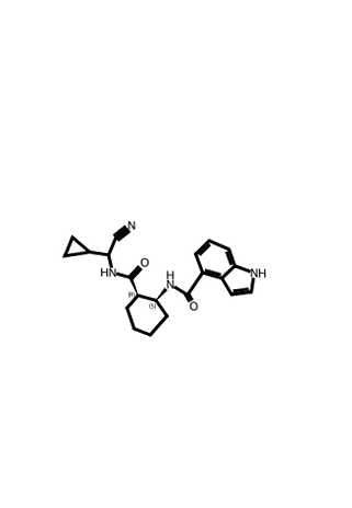 N#CC(NC(=O)[C@@H]1CCCC[C@@H]1NC(=O)c1cccc2[nH]ccc12)C1CC1